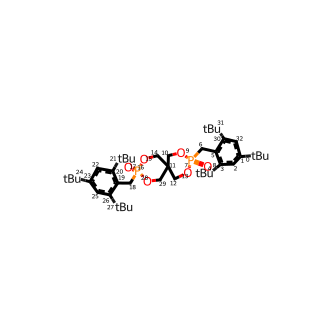 CC(C)(C)c1cc(C(C)(C)C)c(CP2(=O)OCC3(CO2)COP(=O)(Cc2c(C(C)(C)C)cc(C(C)(C)C)cc2C(C)(C)C)OC3)c(C(C)(C)C)c1